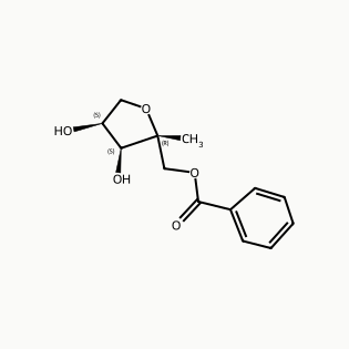 C[C@]1(COC(=O)c2ccccc2)OC[C@H](O)[C@@H]1O